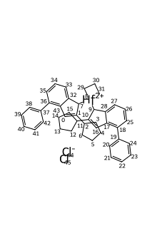 C1=C(C2CCCC2)[CH]([Hf+2]2([CH]3C(C4CCCC4)=Cc4c(-c5ccccc5)cccc43)[CH2]C[CH2]2)c2cccc(-c3ccccc3)c21.[Cl-].[Cl-]